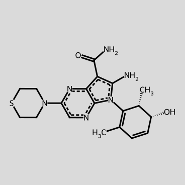 CC1=C(n2c(N)c(C(N)=O)c3nc(N4CCSCC4)cnc32)[C@H](C)[C@H](O)C=C1